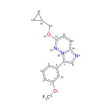 FC(F)(F)Oc1cccc(-c2cnc3ccc(OCC4CC4)nn23)c1